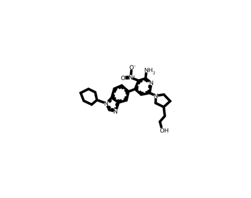 Nc1nc(N2CCC(CCO)C2)cc(-c2ccc3c(c2)ncn3C2CCCCC2)c1[N+](=O)[O-]